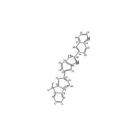 CC1(C)c2ccccc2-c2ccc(-c3ccc4oc(-c5ccc6ncccc6c5)nc4c3)cc21